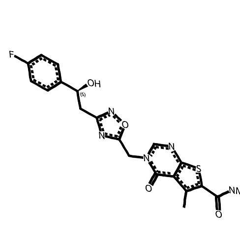 CNC(=O)c1sc2ncn(Cc3nc(C[C@H](O)c4ccc(F)cc4)no3)c(=O)c2c1C